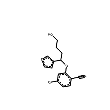 N#Cc1ccc(Cl)cc1OC(CCCO)c1ccsc1